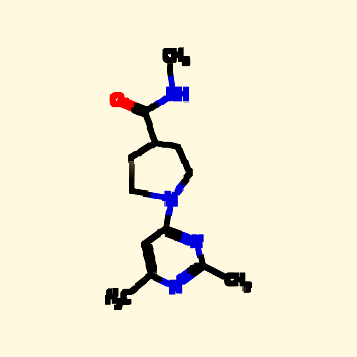 CNC(=O)C1CCN(c2cc(C)nc(C)n2)CC1